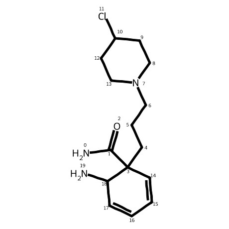 NC(=O)C1(CCCN2CCC(Cl)CC2)C=CC=CC1N